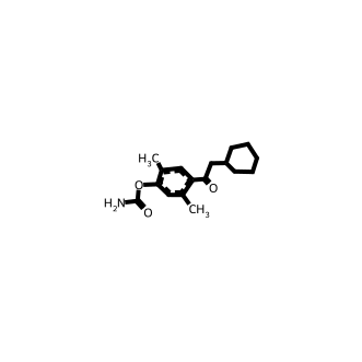 Cc1cc(C(=O)CC2CCCCC2)c(C)cc1OC(N)=O